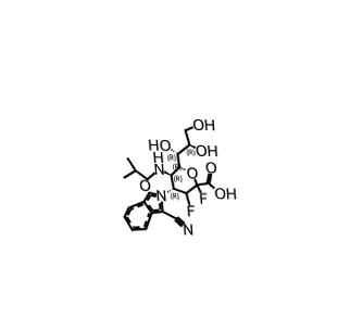 CC(C)C(=O)N[C@H]1[C@H]([C@H](O)[C@H](O)CO)OC(F)(C(=O)O)C(F)[C@@H]1n1cc2ccccc2c1C#N